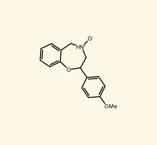 COc1ccc(C2C[NH+]([O-])Cc3ccccc3O2)cc1